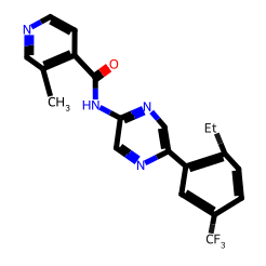 CCc1ccc(C(F)(F)F)cc1-c1cnc(NC(=O)c2ccncc2C)cn1